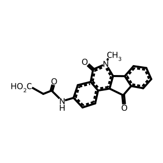 Cn1c2c(c3ccc(NC(=O)CC(=O)O)cc3c1=O)C(=O)c1ccccc1-2